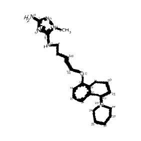 Cn1nc(N)nc1NCCCCOc1cccc2c1CCCC2N1CCCCC1